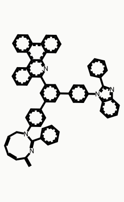 C=C1/C=C\C=C/CN(c2ccc(-c3cc(-c4ccc(-n5c(-c6ccccc6)nc6ccccc65)cc4)cc(-c4nc5c6ccccc6c6ccccc6c5c5ccccc45)c3)cc2)/C(c2ccccc2)=N\1